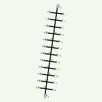 FC(F)(F)C(F)(F)C(F)(F)C(F)(F)C(F)(F)C(F)(F)C(F)(F)C(F)(F)C(F)(F)C(F)(F)C(F)(F)C(F)(F)C(F)(I)C(F)(F)F